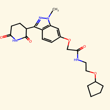 Cn1nc(C2CCC(=O)NC2=O)c2ccc(OCC(=O)NCCOC3CCCC3)cc21